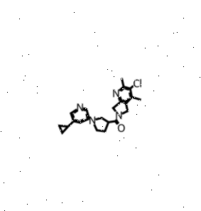 Cc1nc2c(c(C)c1Cl)CN(C(=O)C1CCN(c3cncc(C4CC4)c3)C1)C2